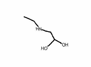 CCNCC(O)O